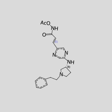 CC(=O)ONC(=O)/C=C/c1cnc(N[C@@H]2CCN(CCc3ccccc3)C2)cn1